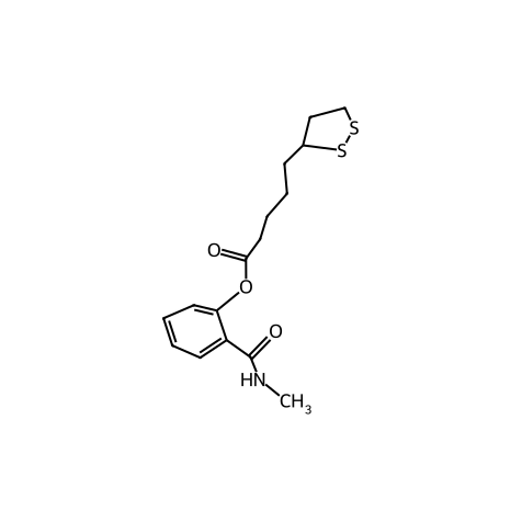 CNC(=O)c1ccccc1OC(=O)CCCCC1CCSS1